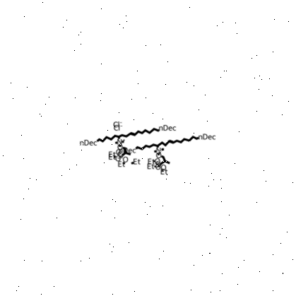 CCC.CCCCCCCCCCCCCCCCC=CCCC(CCCCCCCCCCCCCCC)[N+](C)(C)OCC(C)[Si](OCC)(OCC)OCC.CCCCCCCCCCCCCCCCC=CCCC(CCCCCCCCCCCCCCC)[N+](C)(C)OCC(C)[Si](OCC)(OCC)OCC.[Cl-].[Cl-]